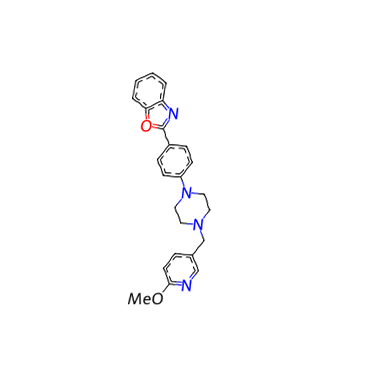 COc1ccc(CN2CCN(c3ccc(-c4nc5ccccc5o4)cc3)CC2)cn1